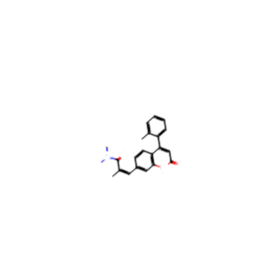 CC(=Cc1ccc2c(-c3ccccc3C)cc(=O)oc2c1)C(=O)N(C)C